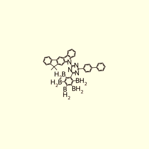 Bc1c(B)c(B)c(-c2nc(-c3ccc(-c4ccccc4)cc3)nc(-n3c4ccccc4c4cc5c(cc43)C(C)(C)c3ccccc3-5)n2)c(B)c1B